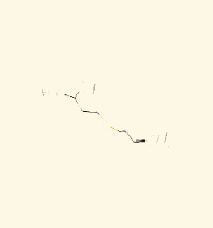 C=CCSCCC(C)C